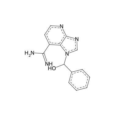 N=C(N)c1ccnc2ncn(C(O)c3ccccc3)c12